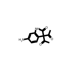 CC(=O)C(C(C)=O)(C(C)=O)c1ccc(N)cc1N